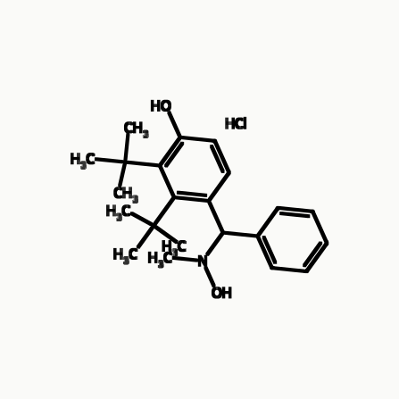 CN(O)C(c1ccccc1)c1ccc(O)c(C(C)(C)C)c1C(C)(C)C.Cl